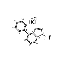 Cl.Cl.[Hf][CH]1C=Cc2c(-c3ccccc3)cccc21